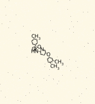 Cc1ccc(S(=O)(=O)Nc2ccc(Oc3ccc(C)c(C)c3)cn2)cc1